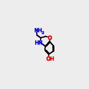 NCC1COc2ccc(O)cc2N1